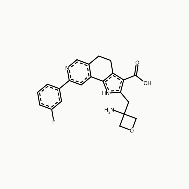 NC1(Cc2[nH]c3c(c2C(=O)O)CCc2cnc(-c4cccc(F)c4)cc2-3)COC1